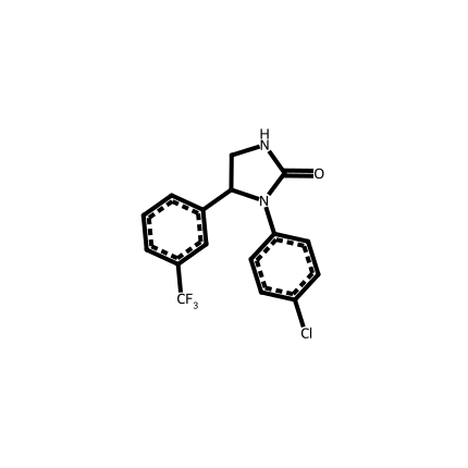 O=C1NCC(c2cccc(C(F)(F)F)c2)N1c1ccc(Cl)cc1